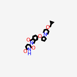 O=C1CCC(N2Cc3cc(OC4CCCC4N4CCC(OCC5CC5)CC4)ccc3C2=O)C(=O)N1